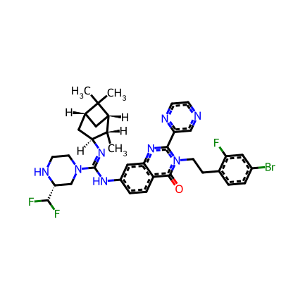 C[C@@H]1[C@@H](N=C(Nc2ccc3c(=O)n(CCc4ccc(Br)cc4F)c(-c4cnccn4)nc3c2)N2CCN[C@@H](C(F)F)C2)C[C@H]2C[C@@H]1C2(C)C